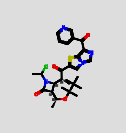 CC(Cl)N1C(=O)[C@H]([C@@H](C)O[Si](C)(C)C(C)(C)C)[C@H]1[C@@H](C)C(=O)c1cn2cnc(C(=O)c3cccnc3)c2s1